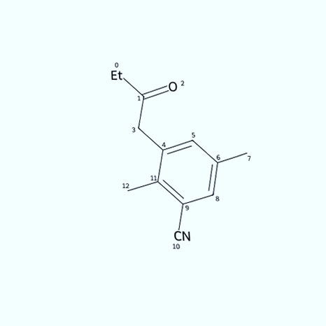 CCC(=O)Cc1cc(C)cc(C#N)c1C